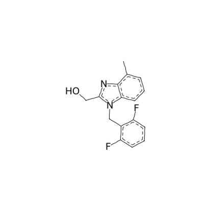 Cc1cccc2c1nc(CO)n2Cc1c(F)cccc1F